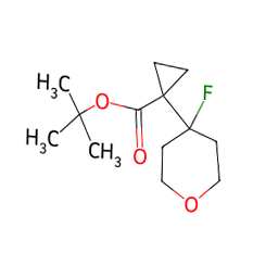 CC(C)(C)OC(=O)C1(C2(F)CCOCC2)CC1